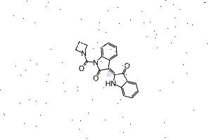 O=C1/C(=C2/C(=O)N(C(=O)N3CCC3)c3ccccc32)Nc2ccccc21